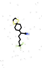 N#CC(CCCC(F)(F)F)C1CCC2(CC1)SCCS2